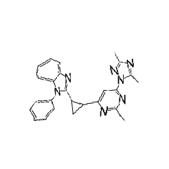 Cc1nc(C2CC2c2nc3ccccc3n2-c2ccccc2)cc(-n2nc(C)nc2C)n1